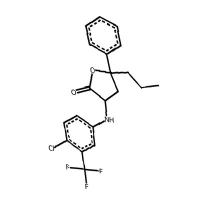 CCCC1(c2ccccc2)CC(Nc2ccc(Cl)c(C(F)(F)F)c2)C(=O)O1